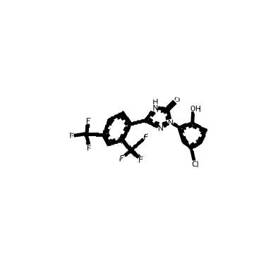 O=c1[nH]c(-c2ccc(C(F)(F)F)cc2C(F)(F)F)nn1-c1cc(Cl)ccc1O